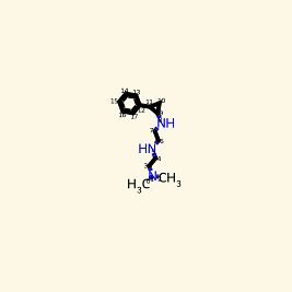 CN(C)CCNCCNC1CC1c1ccccc1